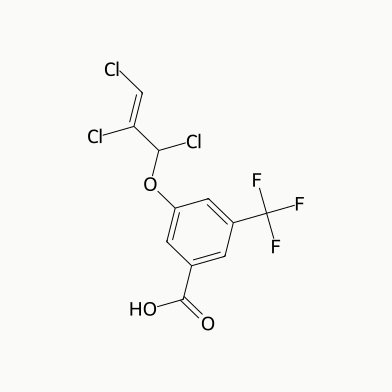 O=C(O)c1cc(OC(Cl)C(Cl)=CCl)cc(C(F)(F)F)c1